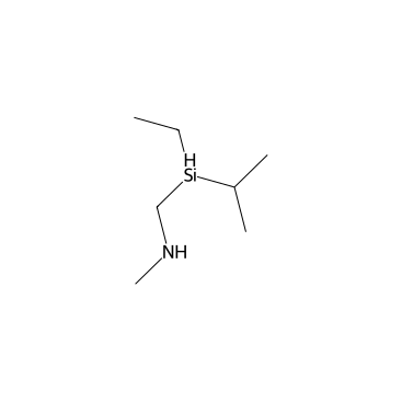 CC[SiH](CNC)C(C)C